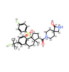 O=C([C@@H]1CC[C@@]2(S(=O)(=O)c3ccc(F)cc3)c3ccc(C(F)(C(F)(F)F)C(F)(F)F)cc3CC[C@@H]12)N1CCC2(CC1)CNC2=O